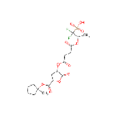 CC(OC(=O)CCC(=O)OC1CC(C(=O)OC2(C)CCCC2)OC1=O)C(F)(F)S(=O)(=O)O